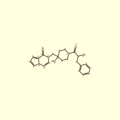 CCC(Cc1ccccc1)C(=O)N1CCC(O)(Cn2cnn3cccc3c2=O)CC1